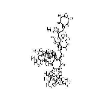 C=C1/C(=C\C=C2/CCC[C@]3(C)[C@@H]([C@@H](C)CN4CCOCC4)CC[C@@H]23)CC(O[Si](C)(C)C(C)(C)C)[C@H](C)C1O[Si](C)(C)C(C)(C)C